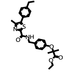 CCOC(=O)C(C)(C)Oc1ccc(CNC(=O)c2nc(C)c(-c3ccc(CC)cc3)s2)cc1